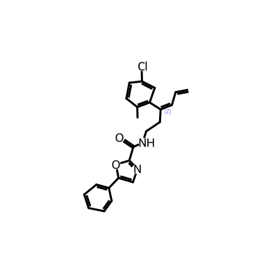 C=C/C=C(/CCNC(=O)c1ncc(-c2ccccc2)o1)c1cc(Cl)ccc1C